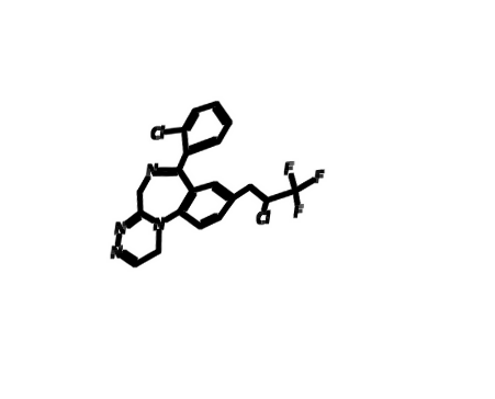 FC(F)(F)C(Cl)Cc1ccc2c(c1)C(c1ccccc1Cl)=NCC1=NN=CCN12